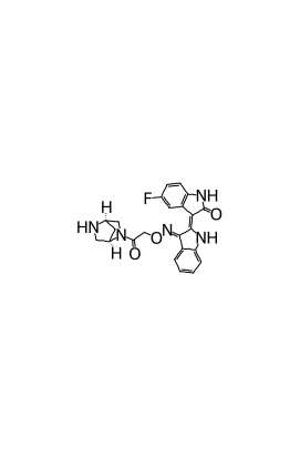 O=C1Nc2ccc(F)cc2/C1=C1/Nc2ccccc2/C1=N\OCC(=O)N1C[C@H]2C[C@@H]1CN2